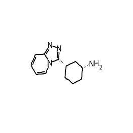 N[C@@H]1CCC[C@H](c2nnc3ccccn23)C1